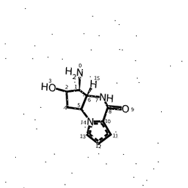 N[C@@H]1C(O)CC2[C@H]1NC(=O)c1cccn12